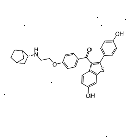 O=C(c1ccc(OCCNC2CC3CCC2C3)cc1)c1c(-c2ccc(O)cc2)sc2cc(O)ccc12